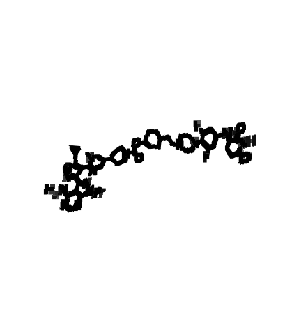 CC(C)n1nc(-c2noc(C3CC3)c2-c2ncc(C3CCN(C(=O)OC4CCC(CCN5CCN(c6c(F)cc(NC7CCC(=O)NC7=O)cc6F)CC5)CC4)CC3)cn2)c2c(N)ncnc21